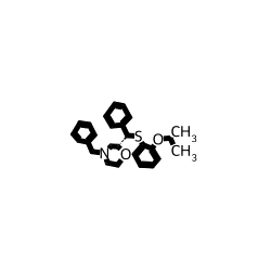 CC(C)Oc1ccccc1SC(c1ccccc1)[C@H]1CN(Cc2ccccc2)CCO1